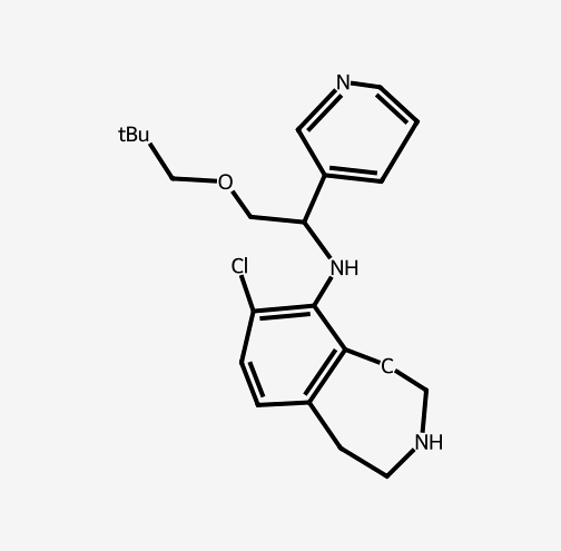 CC(C)(C)COCC(Nc1c(Cl)ccc2c1CCNCC2)c1cccnc1